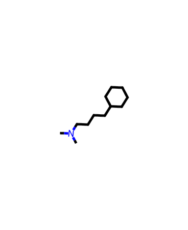 CN(C)CCCCC1CCCCC1